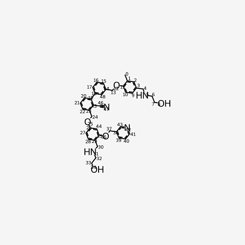 Cc1cc(CNCCO)ccc1OCc1cccc(-c2cccc(COc3ccc(CNCCO)c(OCc4cccnc4)c3)c2C#N)c1